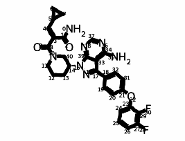 NC(=O)/C(=C\C1CC1)C(=O)N1CCC[C@@H](n2nc(-c3ccc(Oc4cccc(F)c4F)cc3)c3c(N)ncnc32)C1